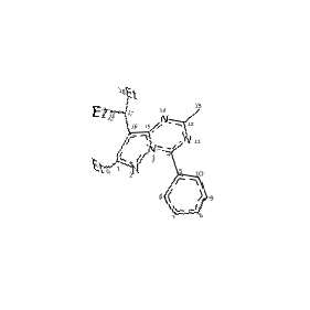 CCc1nn2c(-c3ccccc3)nc(C)nc2c1C(CC)CC